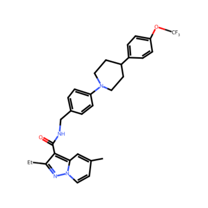 CCc1nn2ccc(C)cc2c1C(=O)NCc1ccc(N2CCC(c3ccc(OC(F)(F)F)cc3)CC2)cc1